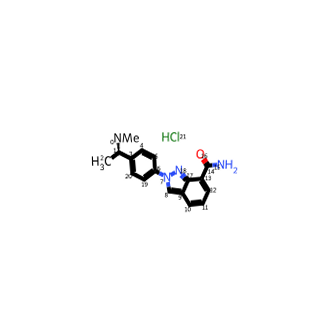 CN[C@H](C)c1ccc(-n2cc3cccc(C(N)=O)c3n2)cc1.Cl